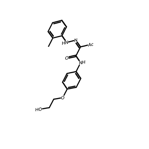 CC(=O)/C(=N/Nc1ccccc1C)C(=O)Nc1ccc(OCCO)cc1